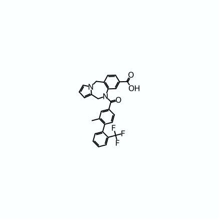 Cc1cc(C(=O)N2Cc3cccn3Cc3ccc(C(=O)O)cc32)ccc1-c1ccccc1C(F)(F)F